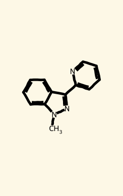 Cn1nc(-c2ccccn2)c2ccccc21